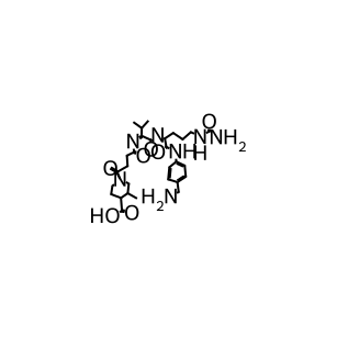 CC(C)C(=NC(=O)CCC(=O)N1CCC(C(=O)O)C(C)C1)C(=O)N=C(CCCNC(N)=O)C(=O)Nc1ccc(CN)cc1